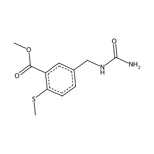 COC(=O)c1cc(CNC(N)=O)ccc1SC